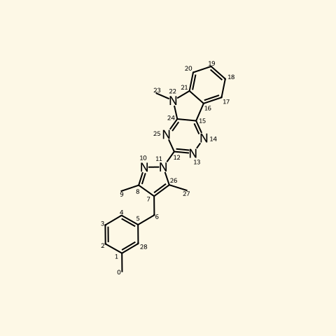 Cc1cccc(Cc2c(C)nn(-c3nnc4c5ccccc5n(C)c4n3)c2C)c1